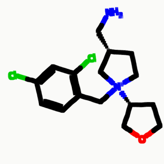 NC[C@@H]1CC[N+](Cc2ccc(Cl)cc2Cl)([C@@H]2CCOC2)C1